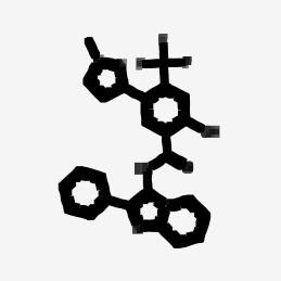 Cn1ccc(-c2cc(C(=O)Nc3c(-c4ccccc4)nc4ccccn34)c(O)cc2C(F)(F)F)n1